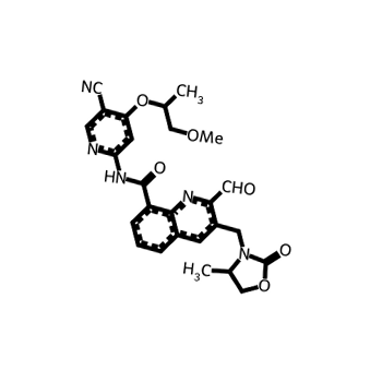 COCC(C)Oc1cc(NC(=O)c2cccc3cc(CN4C(=O)OCC4C)c(C=O)nc23)ncc1C#N